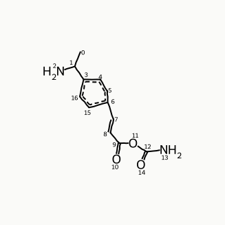 CC(N)c1ccc(C=CC(=O)OC(N)=O)cc1